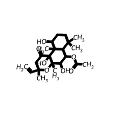 C=CC1(C)CC(=O)C2(O)C(C)(O1)C(O)C(OC(C)=O)C1C(C)(C)CCC(O)C12C